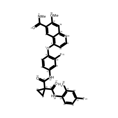 CNC(=O)c1cc2c(Oc3ccc(NC(=O)C4(C(=O)Nc5ccc(F)cc5C)CC4)cc3F)ccnc2cc1OC